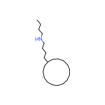 CCCCNCCCCC1CC[CH]CCCCCCCCCCC1